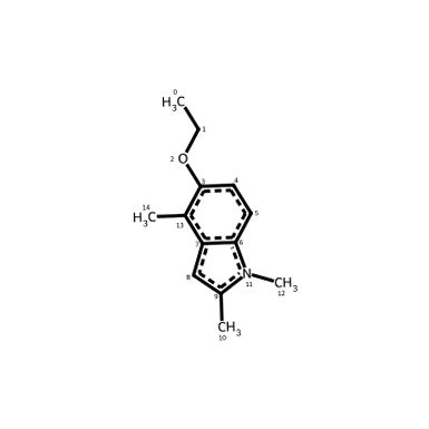 CCOc1ccc2c(cc(C)n2C)c1C